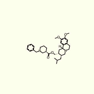 COc1cc2c(cc1OC)[C@H]1C[C@@H](COC(=O)[C@@H]3CCCN(Cc4ccccc4)C3)[C@H](CC(C)C)CN1CC2